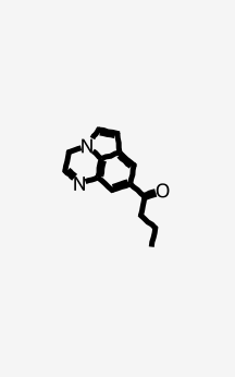 CCCC(=O)c1cc2c3c(ccn3CC=N2)c1